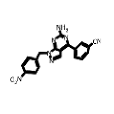 N#Cc1cccc(-c2nc(N)nc3c2cnn3Cc2ccc([N+](=O)[O-])cc2)c1